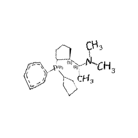 C[C@H]([C@@H]1CCCC1[P@@](c1ccccc1)C1CCCC1)N(C)C